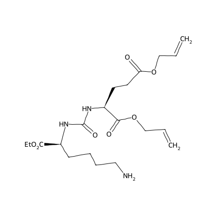 C=CCOC(=O)CC[C@H](NC(=O)N[C@@H](CCCCN)C(=O)OCC)C(=O)OCC=C